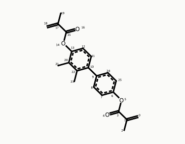 C=C(C)C(=O)Oc1ccc(-c2ccc(OC(=O)C(=C)C)c(C)c2C)cc1